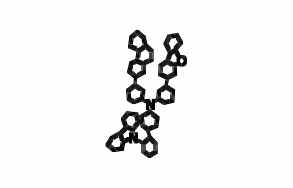 c1cc(-c2ccc3c(ccc4ccccc43)c2)cc(N(c2ccc(-c3ccccc3-n3c4ccccc4c4ccccc43)cc2)c2cccc(-c3ccc4c(c3)oc3ccccc34)c2)c1